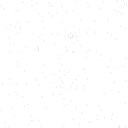 CC(C)(C)C(=O)I